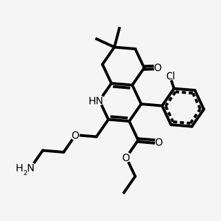 CCOC(=O)C1=C(COCCN)NC2=C(C(=O)CC(C)(C)C2)C1c1ccccc1Cl